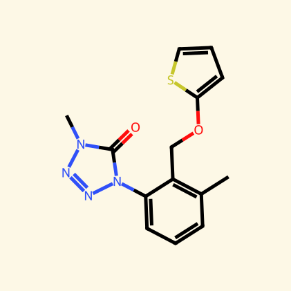 Cc1cccc(-n2nnn(C)c2=O)c1COc1cccs1